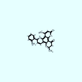 CCCc1cc(=O)oc2c3c(c4c(c12)OC(c1ccccc1N)C=C4)OC(C)CC3=O